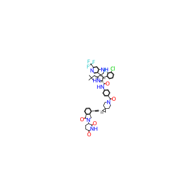 CC(C)(C)C[C@@H]1N[C@@H](C(=O)Nc2ccc(C(=O)N3CCC4(CC3)C[C@@H]4C#Cc3cccc4c3CN(C3CCC(=O)NC3=O)C4=O)cc2)[C@H](c2cccc(Cl)c2F)[C@]12CNc1cc(C(F)(F)F)ncc12